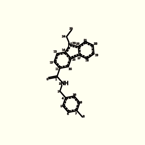 C=C(NCc1ccc(C)cc1)c1ccc2c(c1)c1ccccc1n2CC